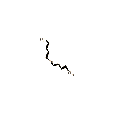 CC=CC=[CH][Ni][CH]=CC=CC